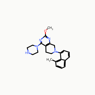 COc1nc2c(c(N3CCNCC3)n1)CCN(c1cccc3cccc(C)c13)C2